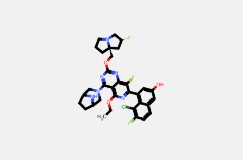 CCOc1nc(-c2cc(O)cc3ccc(F)c(Cl)c23)c(F)c2nc(OC[C@@]34CCCN3C[C@H](F)C4)nc(N3CC4CCC(C3)N4)c12